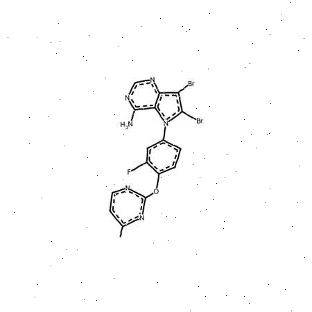 Cc1ccnc(Oc2ccc(-n3c(Br)c(Br)c4ncnc(N)c43)cc2F)n1